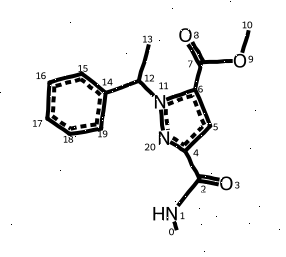 CNC(=O)c1cc(C(=O)OC)n(C(C)c2ccccc2)n1